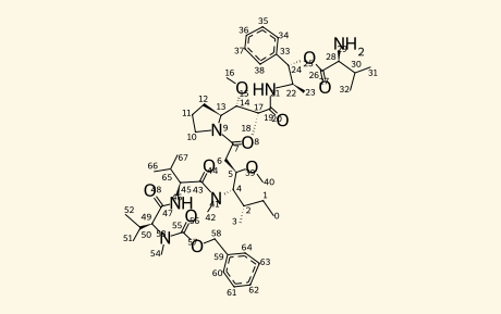 CC[C@H](C)[C@@H]([C@@H](CC(=O)N1CCC[C@H]1[C@H](OC)[C@@H](C)C(=O)N[C@H](C)[C@@H](OC(=O)[C@@H](N)C(C)C)c1ccccc1)OC)N(C)C(=O)[C@@H](NC(=O)[C@H](C(C)C)N(C)C(=O)OCc1ccccc1)C(C)C